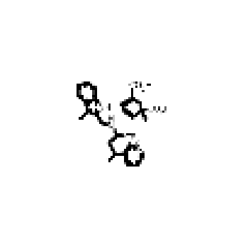 CC1(C(=O)O)C=CC=C(C(=O)O)C1.Cc1c(CNC(CC(C)c2cccnc2)C(F)(F)F)[nH]c2ccccc12